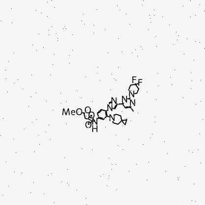 COC(=O)CS(=O)(=O)Nc1ccc(-n2cnc(-c3cc(C)nc(N4CCC(F)(F)CC4)n3)c2)c(N2CCC3(CC2)CC3)c1